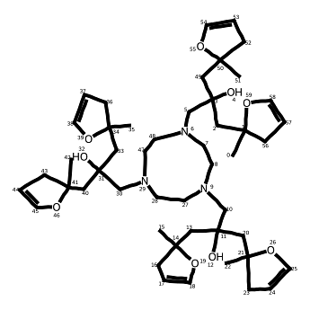 CC1(CC(O)(CN2CCN(CC(O)(CC3(C)CC=CO3)CC3(C)CC=CO3)CCN(CC(O)(CC3(C)CC=CO3)CC3(C)CC=CO3)CC2)CC2(C)CC=CO2)CC=CO1